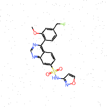 COc1cc(CF)ccc1-c1ncnc2cc(S(=O)(=O)Nc3ccon3)ccc12